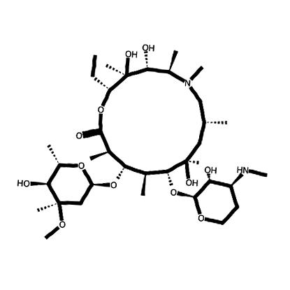 CC[C@H]1OC(=O)[C@H](C)[C@@H](O[C@H]2C[C@@](C)(OC)[C@@H](O)[C@H](C)O2)[C@H](C)[C@@H](O[C@@H]2OCC[C@H](NC)[C@H]2O)[C@](C)(O)C[C@@H](C)CN(C)[C@H](C)[C@@H](O)[C@]1(C)O